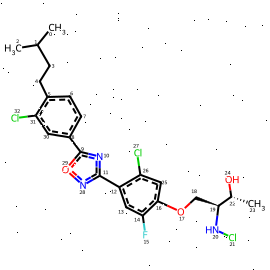 CC(C)CCc1ccc(-c2nc(-c3cc(F)c(OC[C@H](NCl)[C@@H](C)O)cc3Cl)no2)cc1Cl